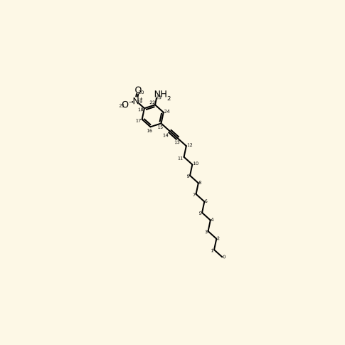 CCCCCCCCCCCCCC#Cc1ccc([N+](=O)[O-])c(N)c1